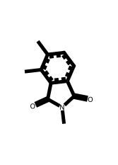 Cc1ccc2c(c1C)C(=O)N(C)C2=O